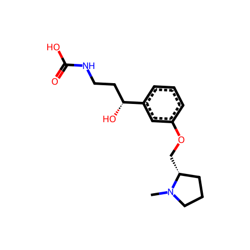 CN1CCC[C@H]1COc1cccc([C@H](O)CCNC(=O)O)c1